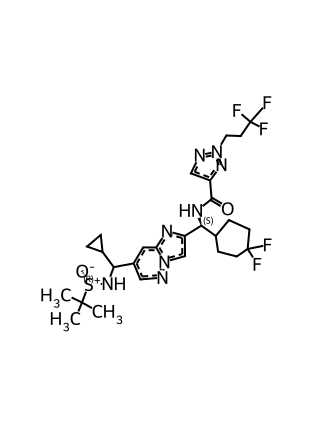 CC(C)(C)[S@+]([O-])NC(c1cnn2cc([C@@H](NC(=O)c3cnn(CCC(F)(F)F)n3)C3CCC(F)(F)CC3)nc2c1)C1CC1